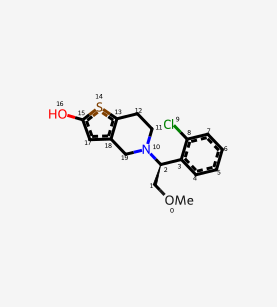 COC[C@H](c1ccccc1Cl)N1CCc2sc(O)cc2C1